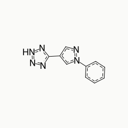 c1ccc(-n2cc(-c3nn[nH]n3)cn2)cc1